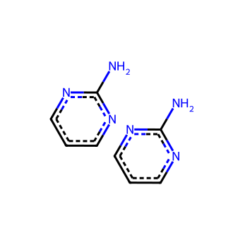 Nc1ncccn1.Nc1ncccn1